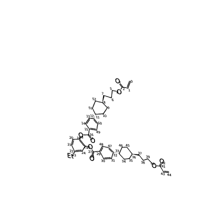 C=CC(=O)OCCC[C@H]1CC[C@H](c2ccc(C(=O)Oc3ccc(CC)cc3OC(=O)c3ccc([C@H]4CC[C@H](CCCOC(=O)C=C)CC4)cc3)cc2)CC1